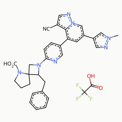 Cn1cc(-c2cc(-c3ccc(N4CC5(CCCN5C(=O)O)C4Cc4ccccc4)nc3)c3c(C#N)cnn3c2)cn1.O=C(O)C(F)(F)F